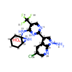 Nn1cc(-c2ncc(C(F)(F)F)c(N[C@]34CCCC[C@]3(O)N4)n2)c2cc(Cl)cnc21